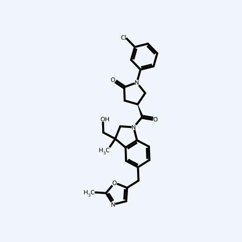 Cc1ncc(Cc2ccc3c(c2)C(C)(CO)CN3C(=O)[C@H]2CC(=O)N(c3cccc(Cl)c3)C2)o1